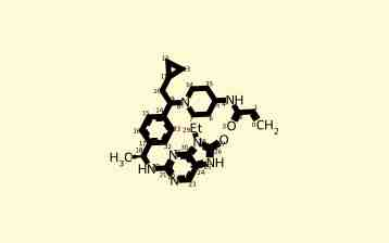 C=CC(=O)NC1CCN(C(CC2CC2)c2ccc([C@H](C)Nc3ncc4[nH]c(=O)n(CC)c4n3)cc2)CC1